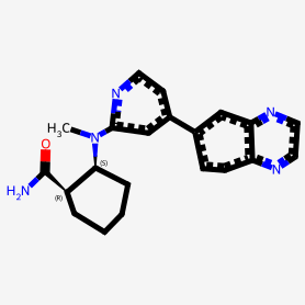 CN(c1cc(-c2ccc3nccnc3c2)ccn1)[C@H]1CCCC[C@H]1C(N)=O